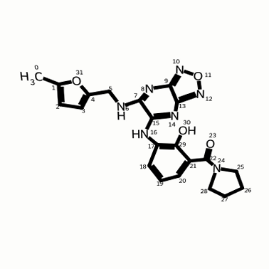 Cc1ccc(CNc2nc3nonc3nc2Nc2cccc(C(=O)N3CCCC3)c2O)o1